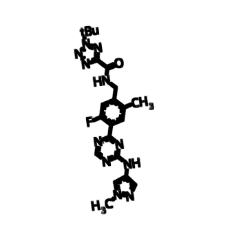 Cc1cc(-c2ncnc(Nc3cnn(C)c3)n2)c(F)cc1CNC(=O)c1nnn(C(C)(C)C)n1